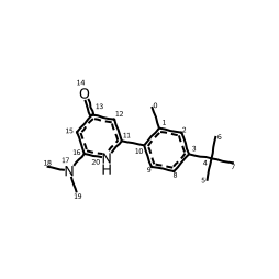 Cc1cc(C(C)(C)C)ccc1-c1cc(=O)cc(N(C)C)[nH]1